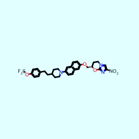 O=[N+]([O-])c1cn2c(n1)O[C@@H](COc1ccc3cc(N4CCC(CCc5ccc(OC(F)(F)F)cc5)CC4)ccc3c1)CC2